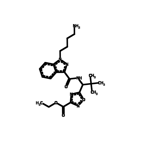 CCOC(=O)c1noc(C(NC(=O)c2nn(CCCCN)c3ccccc23)C(C)(C)C)n1